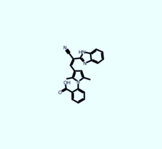 Cc1cc(/C=C(/C#N)c2nc3ccccc3[nH]2)c(C)n1-c1ccccc1C(=O)O